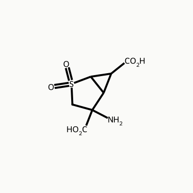 NC1(C(=O)O)CS(=O)(=O)C2C(C(=O)O)C21